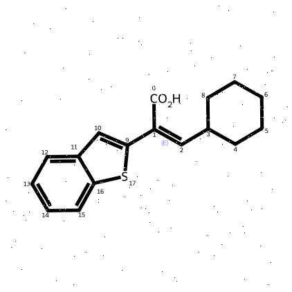 O=C(O)/C(=C\C1CCCCC1)c1cc2ccccc2s1